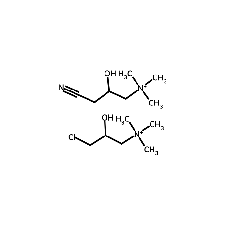 C[N+](C)(C)CC(O)CC#N.C[N+](C)(C)CC(O)CCl